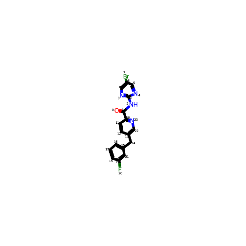 O=C(Nc1ncc(Br)cn1)c1ccc(Cc2cccc(F)c2)cn1